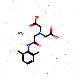 Cc1cccc(C)c1NC(=O)CN(CC(=O)O)CC(=O)O.[99Tc]